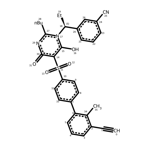 C#Cc1cccc(-c2ccc(S(=O)(=O)c3c(O)n([C@@H](CC)c4cccc(C#N)c4)c(CCCC)nc3=O)cc2)c1C